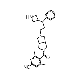 Cc1cc(C#N)nc(C)c1C(=O)N1CC2CN(CCC(c3ccccc3)C3CNC3)CC2C1